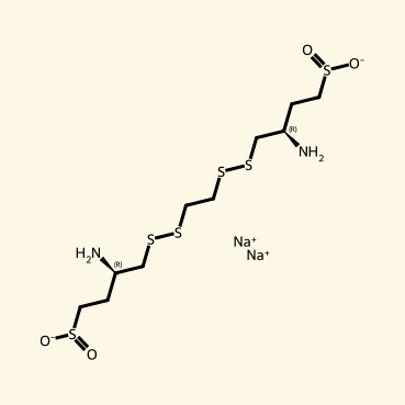 N[C@H](CCS(=O)[O-])CSSCCSSC[C@H](N)CCS(=O)[O-].[Na+].[Na+]